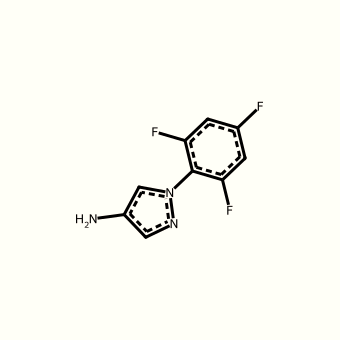 Nc1cnn(-c2c(F)cc(F)cc2F)c1